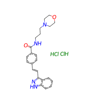 Cl.Cl.O=C(NCCCN1CCOCC1)c1ccc(C=Cc2n[nH]c3ccccc23)cc1